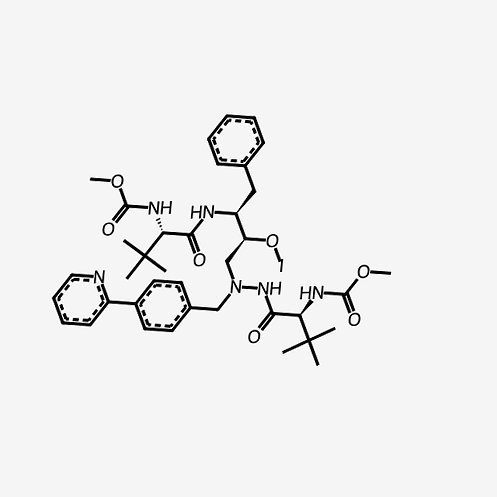 COC(=O)N[C@H](C(=O)N[C@@H](Cc1ccccc1)[C@H](CN(Cc1ccc(-c2ccccn2)cc1)NC(=O)[C@@H](NC(=O)OC)C(C)(C)C)OI)C(C)(C)C